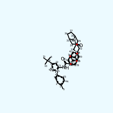 Cc1ccc(-n2nc(C(C)(C)C)cc2NC(=O)Nc2ccc(CC3CC4CCC(C3)N4C(=O)COc3ccccc3)cc2)cc1